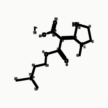 CN1CCN/C1=C(/C(=O)OCC[S+](C)C)[N+](=O)[O-].[I-]